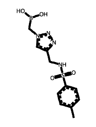 Cc1ccc(S(=O)(=O)NCc2cn(CB(O)O)nn2)cc1